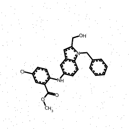 COC(=O)c1cc(Cl)ccc1Nc1ccc2c(c1)cc(CO)n2Cc1ccccc1